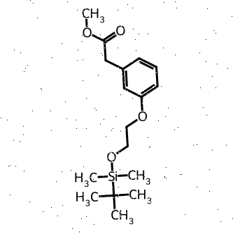 COC(=O)Cc1cccc(OCCO[Si](C)(C)C(C)(C)C)c1